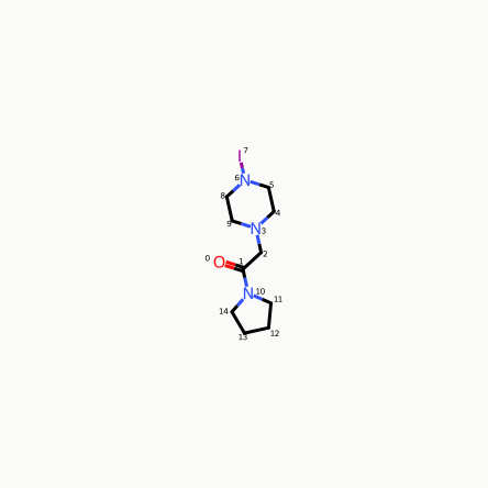 O=C(CN1CCN(I)CC1)N1CCCC1